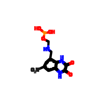 O=c1[nH]c2cc([N+](=O)[O-])cc(CNCOP(O)O)c2[nH]c1=O